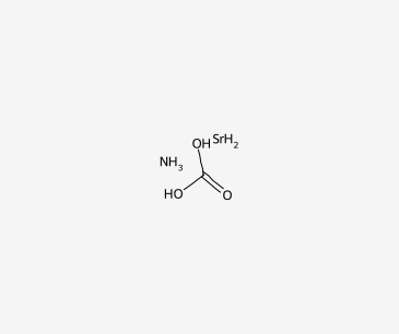 N.O=C(O)O.[SrH2]